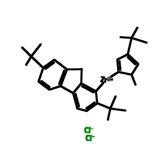 CC1C=C(C(C)(C)C)C=[C]1[Zr+2][c]1c(C(C)(C)C)ccc2c1Cc1cc(C(C)(C)C)ccc1-2.[Cl-].[Cl-]